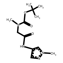 CN(CC(=O)Nc1cnn(C)c1)C(=O)OC(C)(C)C